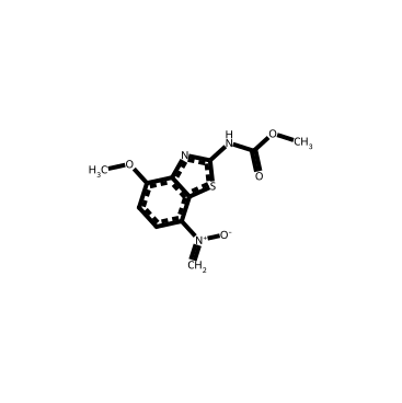 C=[N+]([O-])c1ccc(OC)c2nc(NC(=O)OC)sc12